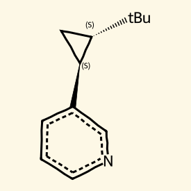 CC(C)(C)[C@H]1C[C@@H]1c1cccnc1